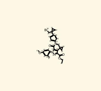 CCOC(=O)c1nn(-c2ccc(OC)cc2F)c2c1C1(CC1)CN(c1ccc(C3(CBr)CC3)cc1)C2=O